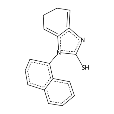 Sc1nc2c(n1-c1cccc3ccccc13)=CCCC=2